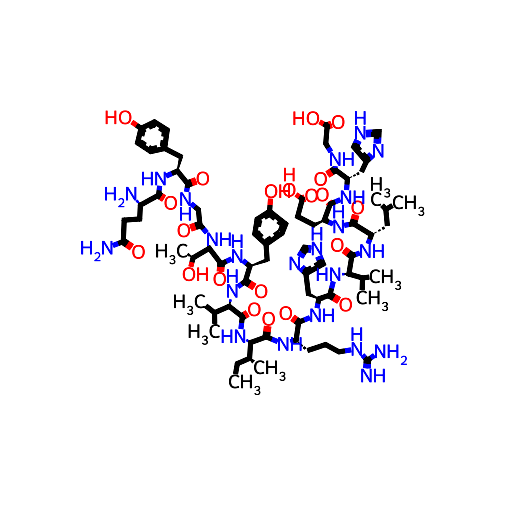 CC[C@H](C)[C@H](NC(=O)[C@@H](NC(=O)[C@H](Cc1ccc(O)cc1)NC(=O)[C@@H](NC(=O)CNC(=O)[C@H](Cc1ccc(O)cc1)NC(=O)[C@@H](N)CCC(N)=O)[C@@H](C)O)C(C)C)C(=O)N[C@@H](CCCNC(=N)N)C(=O)N[C@@H](Cc1c[nH]cn1)C(=O)N[C@H](C(=O)N[C@@H](CC(C)C)C(=O)N[C@@H](CCC(=O)O)C(=O)N[C@@H](Cc1c[nH]cn1)C(=O)NCC(=O)O)C(C)C